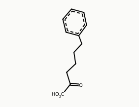 O=C(O)C(=O)CCCCc1ccccc1